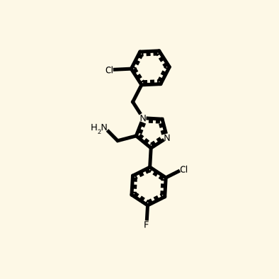 NCc1c(-c2ccc(F)cc2Cl)ncn1Cc1ccccc1Cl